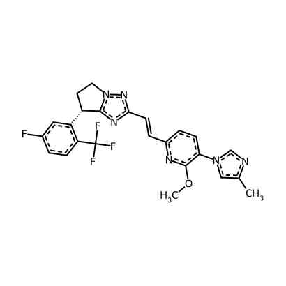 COc1nc(C=Cc2nc3n(n2)CC[C@H]3c2cc(F)ccc2C(F)(F)F)ccc1-n1cnc(C)c1